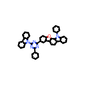 c1ccc(-c2nc(-c3ccc4oc5c(ccc6c7ccccc7n(-c7ccccc7)c65)c4c3)nc(-n3c4ccccc4c4ccccc43)n2)cc1